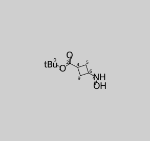 CC(C)(C)OC(=O)C1CC(NO)C1